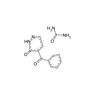 NC(N)=O.O=C(c1ccccc1)c1ccn[nH]c1=O